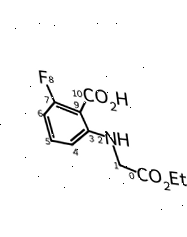 CCOC(=O)CNc1cccc(F)c1C(=O)O